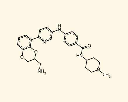 CN1CCC(NC(=O)c2ccc(Nc3ccc(-c4cccc5c4OC(CN)CO5)nc3)cc2)CC1